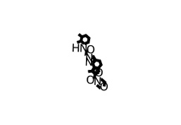 Cc1c(C(=O)N2CCOCC2)oc2c1-c1nn(CC(=O)NC3CCCC(C)C3C)cc1CC2